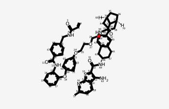 C=CC(=O)NCc1ccc(C(=O)Nc2ccccc2Oc2ccc(OCCOCCNC(=O)C3[C@@H]4CC[C@H]3CN(c3ccc5c(c3)CC[C@H](NC(=O)c3sc6nc(C)ccc6c3N)C5)C4)cc2)cc1